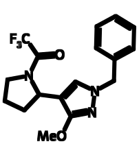 COc1nn(Cc2ccccc2)cc1C1CCCN1C(=O)C(F)(F)F